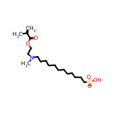 C=C(C)C(=O)OCCN(C)CCCCCCCCCCCCS(=O)(=O)O